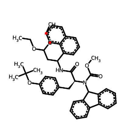 CCOC(CC(NC(=O)[C@H](Cc1ccc(OC(C)(C)C)cc1)N(C(=O)OC)C1c2ccccc2-c2ccccc21)c1cccc2cccnc12)OCC